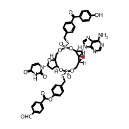 Nc1ncnc2c1ncn2[C@@H]1O[C@@H]2COP(=O)(SCc3ccc(OC(=O)c4ccc(C=O)cc4)cc3)O[C@H]3C[C@H](n4ccc(=O)[nH]c4=O)O[C@@H]3COP(=O)(SCc3ccc(C(=O)c4ccc(O)cc4)cc3)O[C@@H]1[C@@H]2F